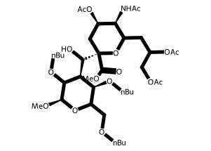 CCCCOCC1O[C@@H](OC)C(OCCCC)[C@@H](C(O)[C@]2(C(=O)OC)C[C@@H](OC(C)=O)[C@@H](NC(C)=O)C(CC(COC(C)=O)OC(C)=O)O2)[C@H]1OCCCC